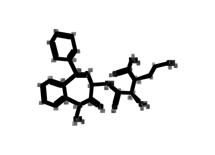 CCC[C@H](C(N)=O)[C@@H](C)C(=O)NC1N=C(c2ccccc2)c2ccccc2N(C)C1=O